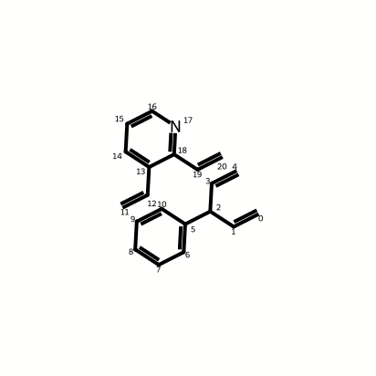 C=CC(C=C)c1ccccc1.C=Cc1cccnc1C=C